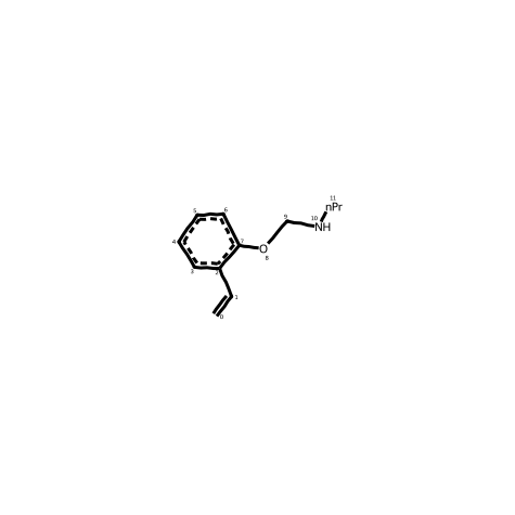 C=Cc1ccccc1OCNCCC